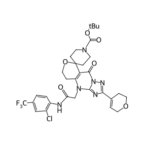 CC(C)(C)OC(=O)N1CCC2(CC1)OCCc1c2c(=O)n2nc(C3=CCOCC3)nc2n1CC(=O)Nc1ccc(C(F)(F)F)cc1Cl